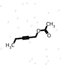 CCC#CCOC(C)=O